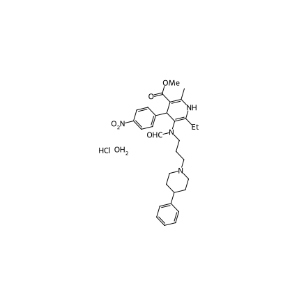 CCC1=C(N(C=O)CCCN2CCC(c3ccccc3)CC2)C(c2ccc([N+](=O)[O-])cc2)C(C(=O)OC)=C(C)N1.Cl.O